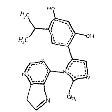 CC(C)c1cc(-c2cnc(O)n2-c2ncnc3c2N=CC3)c(O)cc1O